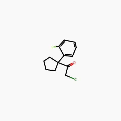 O=C(CCl)C1(c2ccccc2F)CCCC1